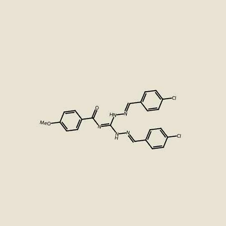 COc1ccc(C(=O)N=C(NN=Cc2ccc(Cl)cc2)NN=Cc2ccc(Cl)cc2)cc1